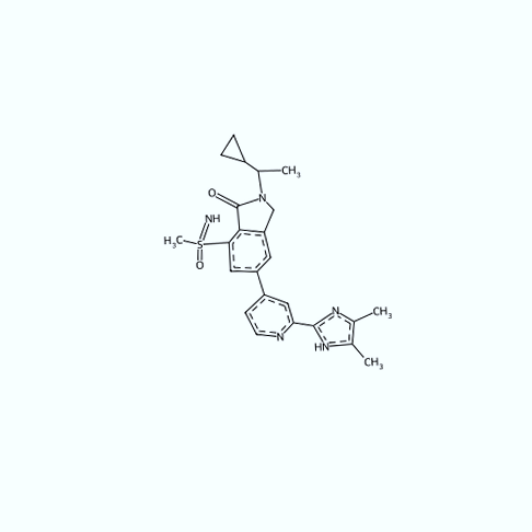 Cc1nc(-c2cc(-c3cc4c(c(S(C)(=N)=O)c3)C(=O)N(C(C)C3CC3)C4)ccn2)[nH]c1C